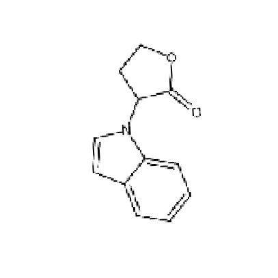 O=C1OCCC1n1ccc2ccccc21